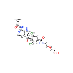 O=C(NCCOCCO)c1cc(Cl)c(C(=O)c2c[nH]c3c(NC(=O)C4CC4)nccc23)c(Cl)c1